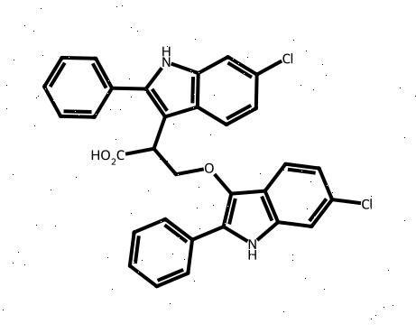 O=C(O)C(COc1c(-c2ccccc2)[nH]c2cc(Cl)ccc12)c1c(-c2ccccc2)[nH]c2cc(Cl)ccc12